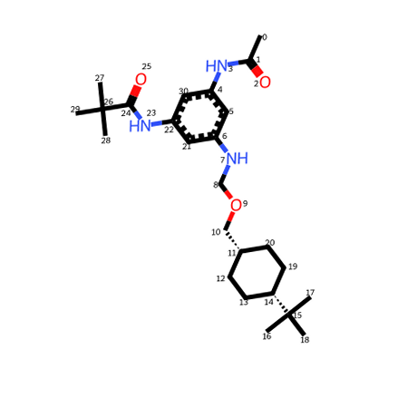 CC(=O)Nc1cc(NCOC[C@H]2CC[C@@H](C(C)(C)C)CC2)cc(NC(=O)C(C)(C)C)c1